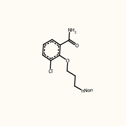 CCCCCCCCCCCCOc1c(Cl)cccc1C(N)=O